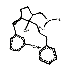 COc1cccc(C=C2CCC(CN(C)C)C2(O)CCCc2ccccc2)c1